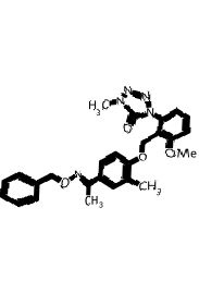 COc1cccc(-n2nnn(C)c2=O)c1COc1ccc(/C(C)=N/OCc2ccccc2)cc1C